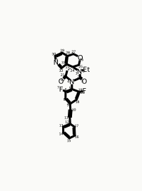 CCN1C(=O)N(c2c(F)cc(C#Cc3ccccc3)cc2F)C(=O)C[C@]12COCc1ccncc12